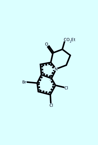 CCOC(=O)C1CCn2c(cc3c(Br)cc(Cl)c(Cl)c32)C1=O